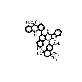 Cc1cc2c(cc1N1c3oc4ccccc4c3Bc3c(-c4cccc5c4Nc4ccccc4C5(C)C)cc4ccccc4c31)C(C)(C)CCC2(C)C